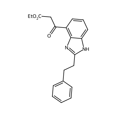 CCOC(=O)CC(=O)c1cccc2[nH]c(CCc3ccccc3)nc12